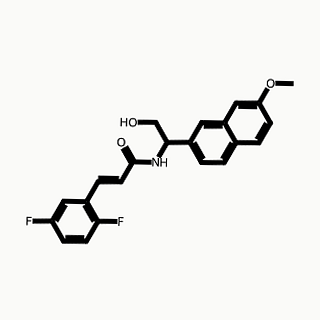 COc1ccc2ccc(C(CO)NC(=O)C=Cc3cc(F)ccc3F)cc2c1